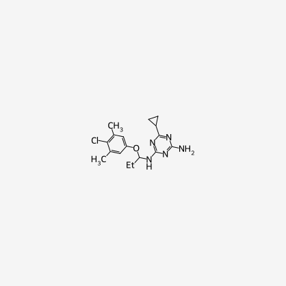 CCC(Nc1nc(N)nc(C2CC2)n1)Oc1cc(C)c(Cl)c(C)c1